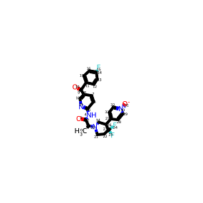 CC(C(=O)Nc1ccc(C(=O)c2ccc(F)cc2)cn1)N1CCC(F)(F)C(c2cc[n+]([O-])cc2)C1